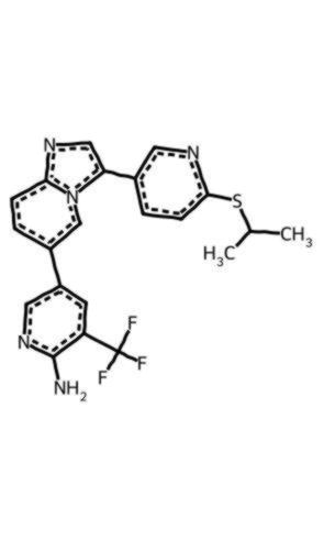 CC(C)Sc1ccc(-c2cnc3ccc(-c4cnc(N)c(C(F)(F)F)c4)cn23)cn1